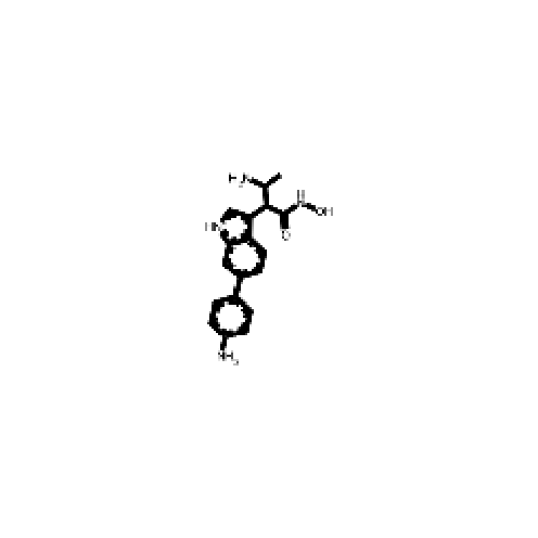 CC(N)C(C(=O)NO)c1c[nH]c2cc(-c3ccc(N)cc3)ccc12